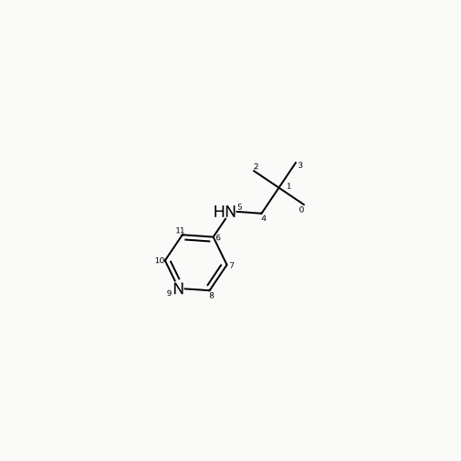 CC(C)(C)CNc1ccncc1